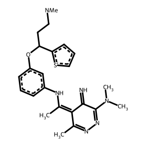 CNCCC(Oc1cccc(N/C(C)=C2\C(=N)C(N(C)C)=NN=C2C)c1)c1cccs1